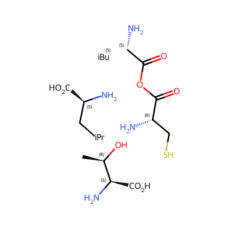 CC(C)C[C@H](N)C(=O)O.CC[C@H](C)[C@H](N)C(=O)OC(=O)[C@@H](N)CS.C[C@@H](O)[C@H](N)C(=O)O